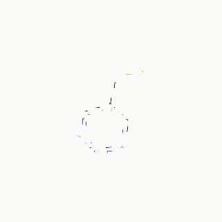 [S]Cc1cncnc1